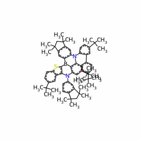 CC(C)(C)c1ccc(-c2cc(C(C)(C)C)ccc2N2c3cc4c(cc3B3c5sc6ccc(C(C)(C)C)cc6c5N(c5ccc6c(c5)C(C)(C)CC6(C)C)c5cc(C(C)(C)C)cc2c53)C(C)(C)CC4(C)C)cc1